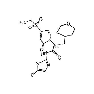 O=C(Nc1ncc(Cl)s1)[C@@H](CC1CCOCC1)n1ccc(S(=O)(=O)CC(F)(F)F)cc1=O